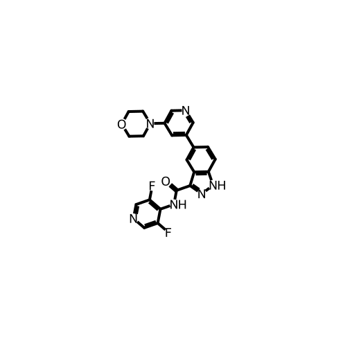 O=C(Nc1c(F)cncc1F)c1n[nH]c2ccc(-c3cncc(N4CCOCC4)c3)cc12